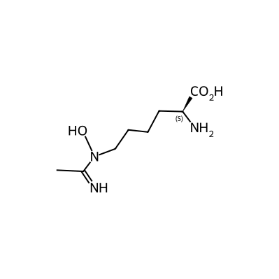 CC(=N)N(O)CCCC[C@H](N)C(=O)O